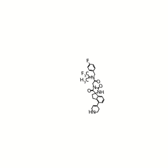 C[C@H](N(Cc1ccc(F)cc1)C(=O)CN1C(=O)NC2(CCc3c(C4=CCNCC4)cccc32)C1=O)C(F)(F)F